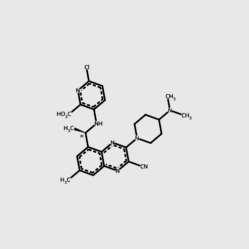 Cc1cc([C@@H](C)Nc2ccc(Cl)nc2C(=O)O)c2nc(N3CCC(N(C)C)CC3)c(C#N)nc2c1